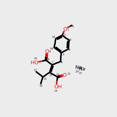 COc1ccc(CC(C(=O)O)=C(C(=O)O)C(C)C)cc1.[Na].[Na]